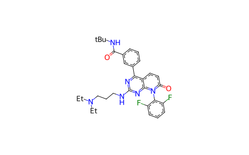 CCN(CC)CCCNc1nc(-c2cccc(C(=O)NC(C)(C)C)c2)c2ccc(=O)n(-c3c(F)cccc3F)c2n1